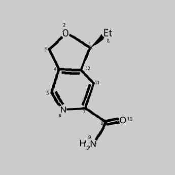 CC[C@@H]1OCc2cnc(C(N)=O)cc21